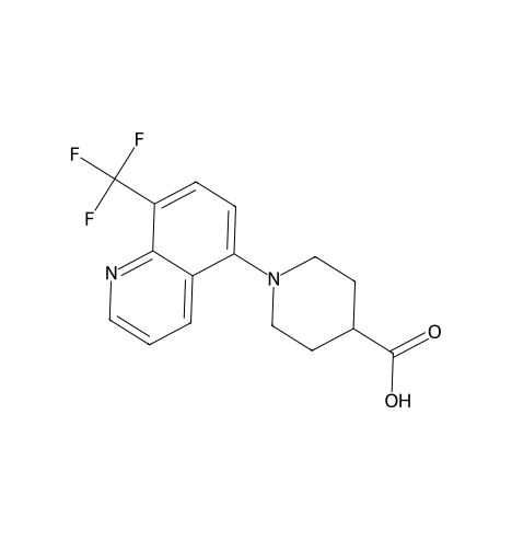 O=C(O)C1CCN(c2ccc(C(F)(F)F)c3ncccc23)CC1